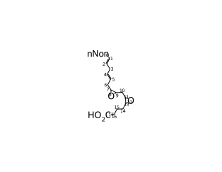 CCCCCCCCCC=CCC=CCC1OC1CC1OC1CCCC(=O)O